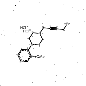 COc1ccccc1N1CCN(CC#CCBr)CC1.Cl.Cl